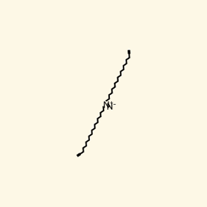 C#CCCCCCCCCCCCCCCCC[N+](=[N-])CCCCCCCCCCCCCCCCC#C